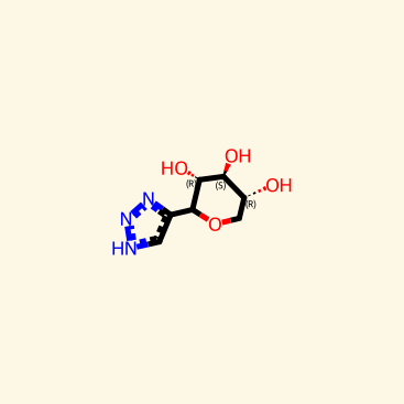 O[C@H]1[C@H](O)COC(c2c[nH]nn2)[C@@H]1O